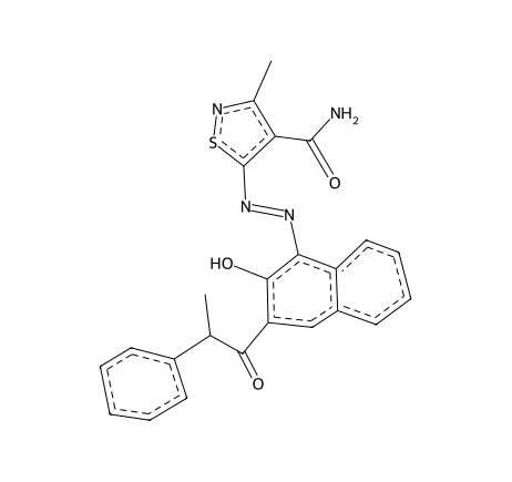 Cc1nsc(/N=N/c2c(O)c(C(=O)C(C)c3ccccc3)cc3ccccc23)c1C(N)=O